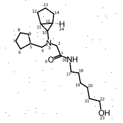 O=C(CN(CC1CCCC1)C1C2CCC[C@H]21)NCCCCCCO